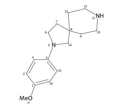 COc1ccc(N2CCC3(CCNCC3)C2)cc1